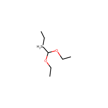 C[CH][SiH2]C(OCC)OCC